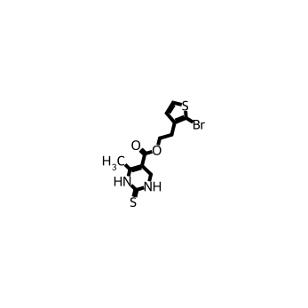 CC1=C(C(=O)OCCc2ccsc2Br)CNC(=S)N1